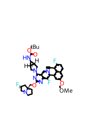 C#Cc1c(F)ccc2cc(OCOC)cc(-c3ncc4c(N5C[C@@H]6C(NC(=O)OC(C)(C)C)[C@@H]6C5)nc(OC[C@@]56CCCN5C[C@H](F)C6)nc4c3F)c12